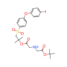 CC(C)(C)OC(=O)CNCC(=O)OC(C)(C)CS(=O)(=O)c1ccc(Oc2ccc(I)cc2)cc1